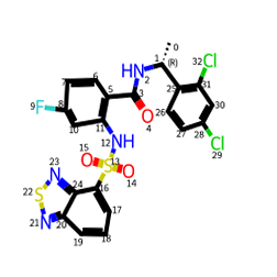 C[C@@H](NC(=O)c1ccc(F)cc1NS(=O)(=O)c1cccc2nsnc12)c1ccc(Cl)cc1Cl